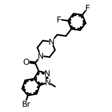 Cn1nc(C(=O)N2CCN(CCc3ccc(F)cc3F)CC2)c2ccc(Br)cc21